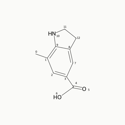 Cc1cc(C(=O)O)cc2c1NCC2